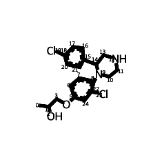 CC(O)COc1ccc(N2CCNCC2c2ccc(Cl)cc2)c(Cl)c1